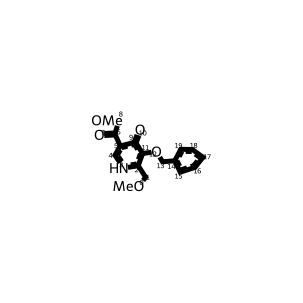 COCc1[nH]cc(C(=O)OC)c(=O)c1OCc1ccccc1